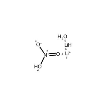 O.O=[N+]([O-])O.[Li+].[LiH]